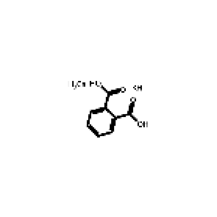 O=C(O)c1ccccc1C(=O)O.[CaH2].[KH]